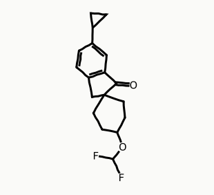 O=C1c2cc(C3CC3)ccc2CC12CCC(OC(F)F)CC2